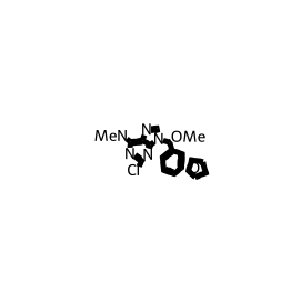 C1CC2CC1O2.CNc1nc(Cl)nc2c1ncn2C(OC)c1ccccc1